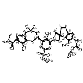 CNS(=O)(=O)c1nc(N2Cc3c(Cl)c(C(=O)N(C)C)nn3CC(F)(F)C2)c(C#N)c(N2CC3(CCc4sc(NC(=O)OC(C)(C)C)c(C#N)c43)C2)n1